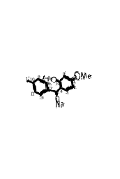 COc1ccc(C(=O)c2ccc(C)cc2)c(O)c1.[Na]